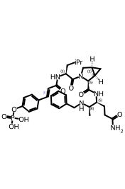 CC(C)C[C@H](NC(=O)/C=C/c1ccc(OP(=O)(O)O)cc1)C(=O)N1C[C@H]2C[C@H]2[C@H]1C(=O)N[C@@H](CCC(N)=O)[C@@H](C)NCc1ccccc1